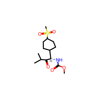 COC(=O)N[C@H](C(=O)C(C)C)C1CCC(S(C)(=O)=O)CC1